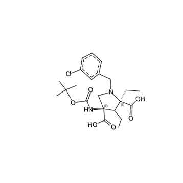 CCC1[C@](CC)(C(=O)O)N(Cc2cccc(Cl)c2)C[C@@]1(NC(=O)OC(C)(C)C)C(=O)O